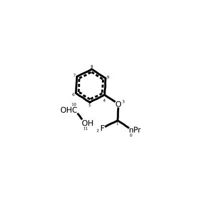 CCCC(F)Oc1ccccc1.O=CO